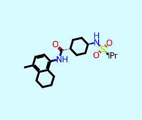 Cc1ccc(NC(=O)[C@H]2CC[C@H](NS(=O)(=O)C(C)C)CC2)c2c1CCCC2